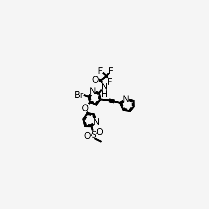 CCS(=O)(=O)c1ccc(Oc2cc(C#Cc3ccccn3)c(NC(=O)C(F)(F)F)nc2Br)cn1